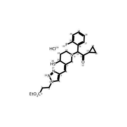 CCOC(=O)CCn1cc(C=C2CN(C(C(=O)C3CC3)c3ccccc3F)CCC2S)nn1.Cl